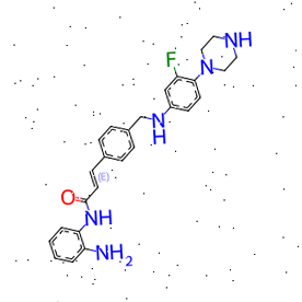 Nc1ccccc1NC(=O)/C=C/c1ccc(CNc2ccc(N3CCNCC3)c(F)c2)cc1